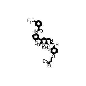 CCN(CC)CCOc1ccc(Nc2ncc3cc(-c4cc(NC(=O)c5cccc(C(F)(F)F)c5)ccc4Cl)c(=O)n(C)c3n2)cc1